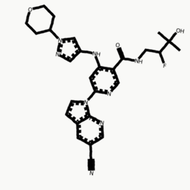 CC(C)(O)C(F)CNC(=O)c1cnc(-n2ccc3cc(C#N)cnc32)cc1Nc1cnn(C2CCOCC2)c1